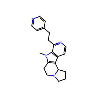 Cn1c2c(c3ccnc(CCc4ccncc4)c31)C1CCCN1CC2